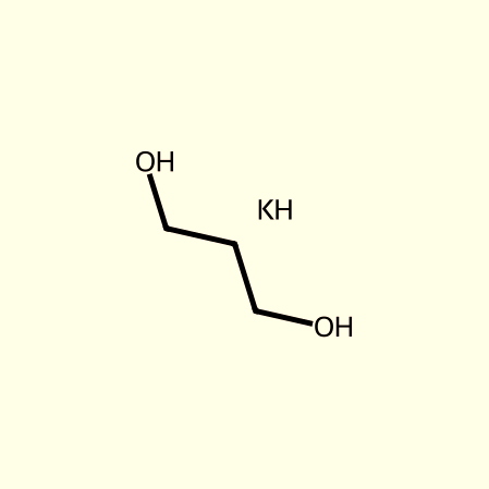 OCCCO.[KH]